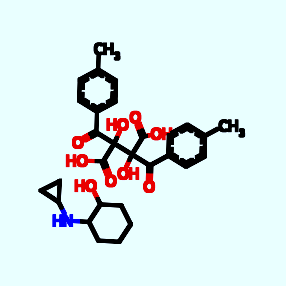 Cc1ccc(C(=O)C(O)(C(=O)O)C(O)(C(=O)O)C(=O)c2ccc(C)cc2)cc1.OC1CCCCC1NC1CC1